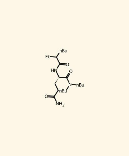 CCCCC(CC)C(=O)N[C@@H](CCC(N)=O)C(=O)N(CCCC)CCCC